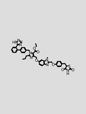 CCCc1nc(COc2ccc3nc(COc4ccc(CC5SC(=O)NC5=O)cc4)n(C)c3c2)c(C(=O)OCC)n1Cc1ccc(-c2ccccc2-c2nnn[nH]2)cc1